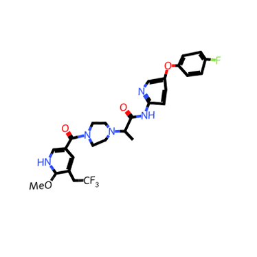 COC1NC=C(C(=O)N2CCN(C(C)C(=O)Nc3ccc(Oc4ccc(F)cc4)cn3)CC2)C=C1CC(F)(F)F